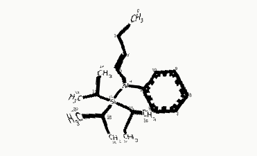 CCC=CN(c1ccccc1)[Si](C(C)C)(C(C)C)C(C)C